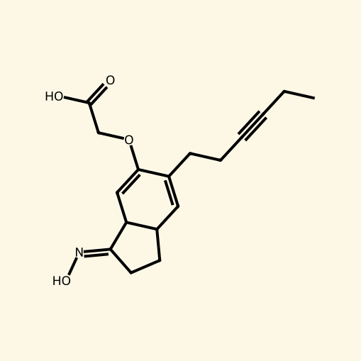 CCC#CCCC1=CC2CC/C(=N\O)C2C=C1OCC(=O)O